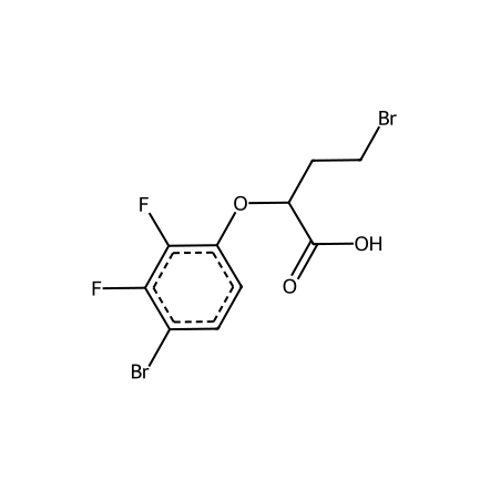 O=C(O)C(CCBr)Oc1ccc(Br)c(F)c1F